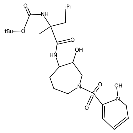 CC(C)CC(C)(NC(=O)OC(C)(C)C)C(=O)NC1CCCN(S(=O)(=O)C2=CC=CCN2O)CC1O